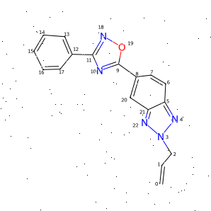 C=CCn1nc2ccc(-c3nc(-c4ccccc4)no3)cc2n1